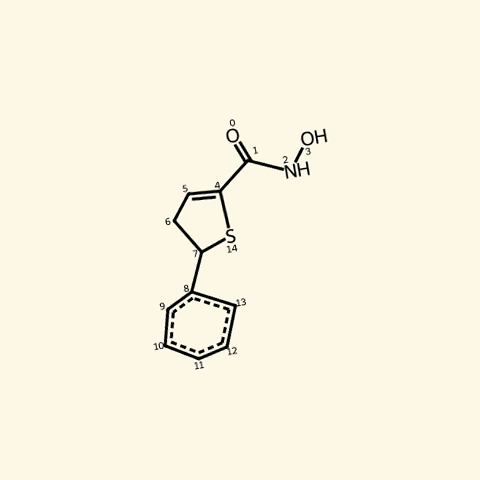 O=C(NO)C1=CCC(c2ccccc2)S1